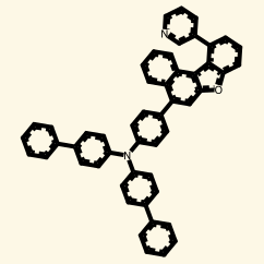 c1ccc(-c2ccc(N(c3ccc(-c4ccccc4)cc3)c3ccc(-c4cc5oc6cccc(-c7cccnc7)c6c5c5ccccc45)cc3)cc2)cc1